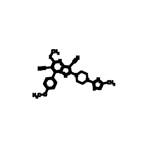 COc1ccc(-c2c(C#N)c(SC)nc3c(C#N)c(N4CCN(c5nc(C)cs5)CC4)nn23)cc1